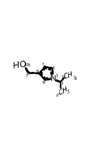 CC(C)n1ccc(CO)c1